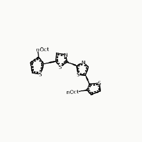 CCCCCCCCc1ccsc1-c1cnc(-c2ncc(-c3sccc3CCCCCCCC)s2)s1